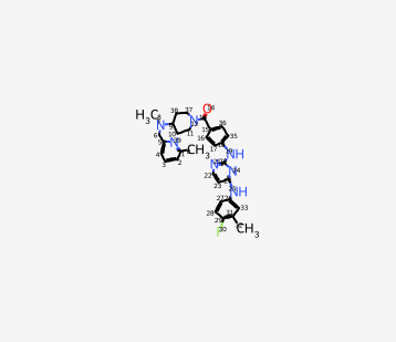 Cc1cccc(CN(C)C2CCN(C(=O)c3ccc(Nc4nccc(Nc5ccc(F)c(C)c5)n4)cc3)CC2)n1